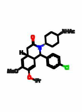 COC1=C[C@@H]2CC(=O)N([C@H]3CC[C@H](NC(C)=O)CC3)C(c3ccc(Cl)cc3)C2C=C1OC(C)C